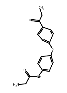 CCC(=O)c1ccc(Sc2ccc(NC(=O)CN)cc2)cc1